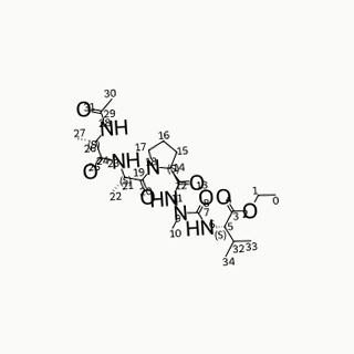 CCOC(=O)[C@@H](NC(=O)N(C)NC(=O)[C@@H]1CCCN1C(=O)[C@H](C)NC(=O)[C@H](C)NC(C)=O)C(C)C